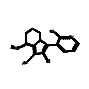 COC1CCCn2c(-c3cccnc3Cl)c(Cl)c(C(C)=O)c21